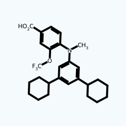 CN(c1cc(C2CCCCC2)cc(C2CCCCC2)c1)c1ccc(C(=O)O)cc1OC(F)(F)F